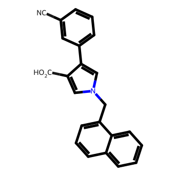 N#Cc1cccc(-c2cn(Cc3cccc4ccccc34)cc2C(=O)O)c1